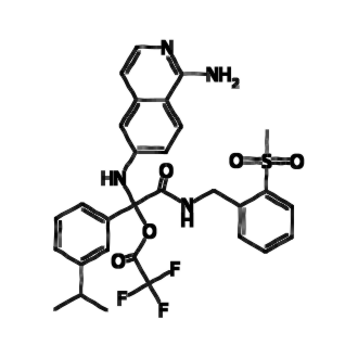 CC(C)c1cccc(C(Nc2ccc3c(N)nccc3c2)(OC(=O)C(F)(F)F)C(=O)NCc2ccccc2S(C)(=O)=O)c1